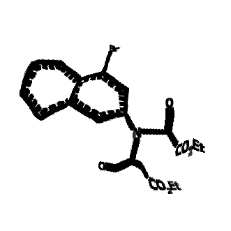 CCOC(=O)C(=O)N(C(=O)C(=O)OCC)c1cc(Br)c2ccccc2c1